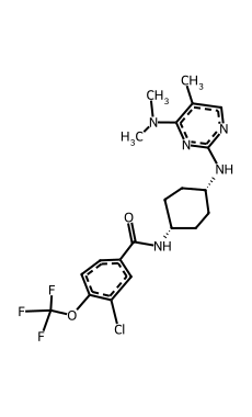 Cc1cnc(N[C@H]2CC[C@@H](NC(=O)c3ccc(OC(F)(F)F)c(Cl)c3)CC2)nc1N(C)C